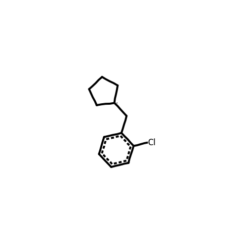 Clc1ccccc1C[C]1CCCC1